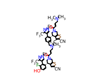 CCn1cc(-c2ccc(CN(C)C/C=C/C(=O)N3Cc4sc(C#N)cc4[C@H](c4ccc(O)c(F)c4-c4cn(CC)nc4C(F)(F)F)C3)cc2[C@@H]2CN(C(=O)/C=C/CN(C)C)Cc3sc(C#N)c(C)c32)c(C(F)(F)F)n1